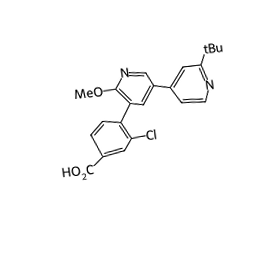 COc1ncc(-c2ccnc(C(C)(C)C)c2)cc1-c1ccc(C(=O)O)cc1Cl